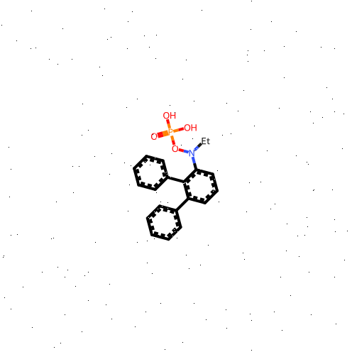 CCN(OP(=O)(O)O)c1cccc(-c2ccccc2)c1-c1ccccc1